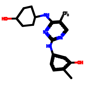 Cc1ccc(Nc2ncc(C(F)(F)F)c(NC3CCC(O)CC3)n2)cc1O